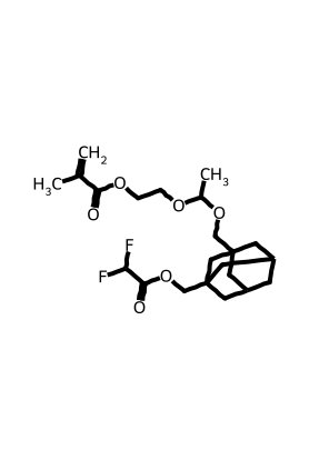 C=C(C)C(=O)OCCOC(C)OCC12CC3CC(CC(COC(=O)C(F)F)(C3)C1)C2